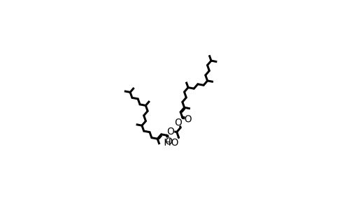 C/C(=C\C(=O)OCC(CO)OC(=O)/C=C(\C)CCCC(C)CCCC(C)CCCC(C)C)CCCC(C)CCCC(C)CCCC(C)C